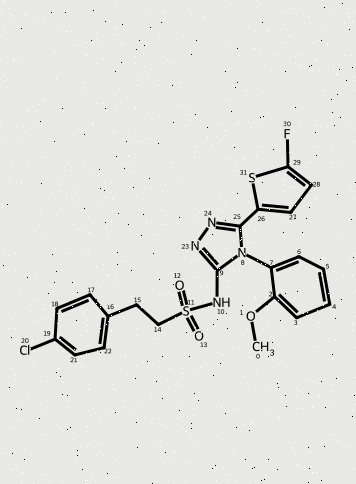 COc1ccccc1-n1c(NS(=O)(=O)CCc2ccc(Cl)cc2)nnc1-c1ccc(F)s1